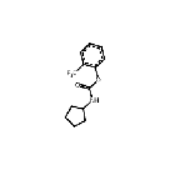 O=C(NC1CCCC1)Oc1ccccc1C(F)(F)F